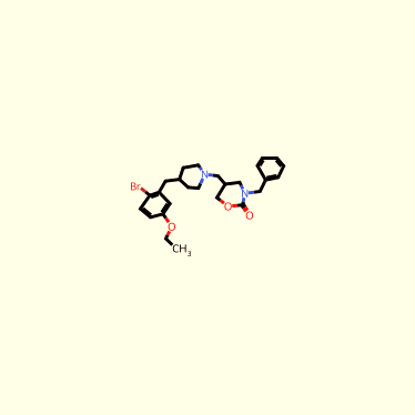 CCOc1ccc(Br)c(CC2CCN(CC3COC(=O)N(Cc4ccccc4)C3)CC2)c1